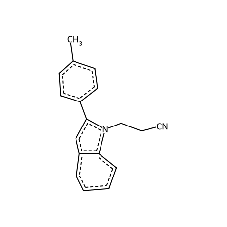 Cc1ccc(-c2cc3ccccc3n2CCC#N)cc1